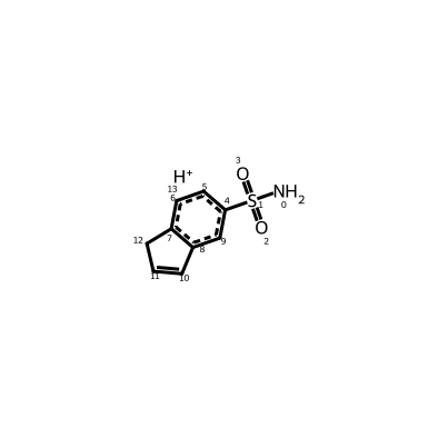 NS(=O)(=O)c1ccc2c(c1)C=CC2.[H+]